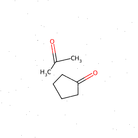 CC(C)=O.O=C1CCCC1